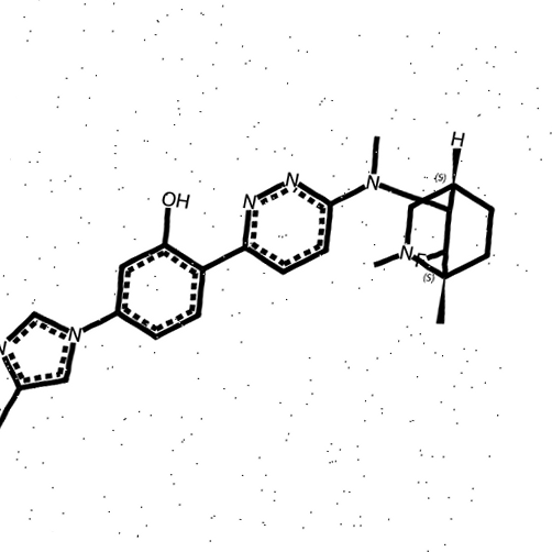 Cc1cn(-c2ccc(-c3ccc(N(C)C4C(F)[C@]5(C)CC[C@H]4CN5C)nn3)c(O)c2)cn1